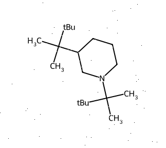 CC(C)(C)C(C)(C)C1CCCN(C(C)(C)C(C)(C)C)C1